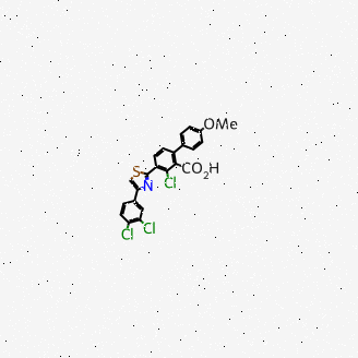 COc1ccc(-c2ccc(-c3nc(-c4ccc(Cl)c(Cl)c4)cs3)c(Cl)c2C(=O)O)cc1